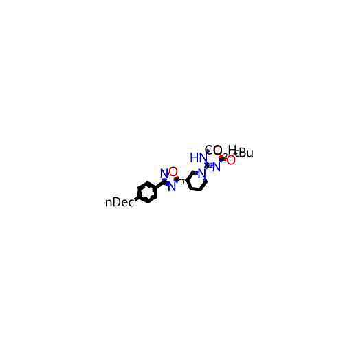 CCCCCCCCCCc1ccc(-c2noc([C@H]3CCCN(/C(=N/C(=O)OC(C)(C)C)NC(=O)O)C3)n2)cc1